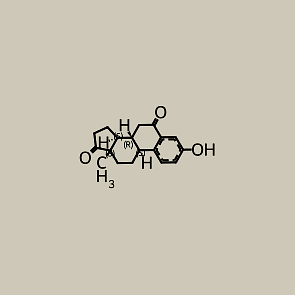 C[C@]12CC[C@@H]3c4ccc(O)cc4C(=O)C[C@H]3[C@@H]1CCC2=O